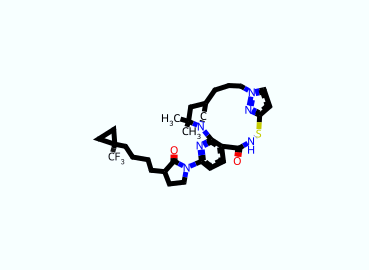 CC1(C)CC2CCCn3ccc(n3)SNC(=O)c3ccc(N4CCC(CCCCC5(C(F)(F)F)CC5)C4=O)nc3N1C2